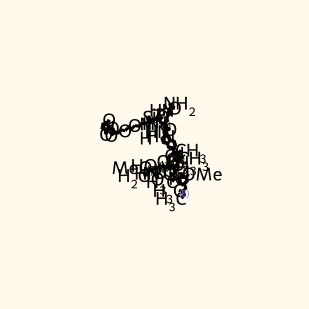 C=C[C@@H](OC)[C@@]1(O)C[C@@H]([C@@H](C)[C@@H]2O[C@@]2(C)[C@H](CC(=O)N(C)c2cc(C/C(C)=C/C)cc(OC)c2Cl)OC(=O)[C@H](C)N(C)C(=O)c2ccc3nc(NC(=O)[C@H](CCCNC(N)=O)NC(=O)[C@@H](NC(=S)NCCOCCOCCC(=O)ON4C(=O)CCC4=O)C(C)C)ccc3c2)OC(=O)N1